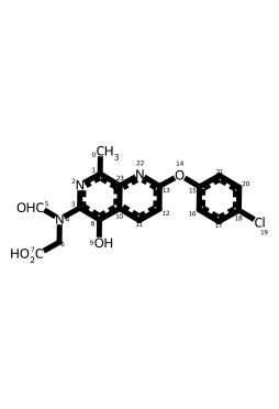 Cc1nc(N(C=O)CC(=O)O)c(O)c2ccc(Oc3ccc(Cl)cc3)nc12